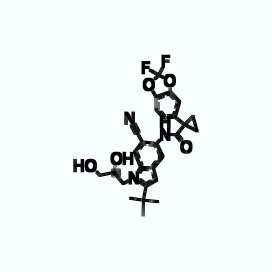 CC(C)(C)c1cc2cc(NC(=O)C3(c4ccc5c(c4)OC(F)(F)O5)CC3)c(C#N)cc2n1C[C@@H](O)CO